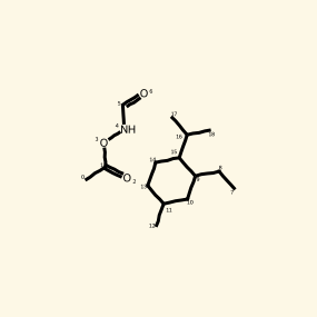 CC(=O)ONC=O.CCC1CC(C)CCC1C(C)C